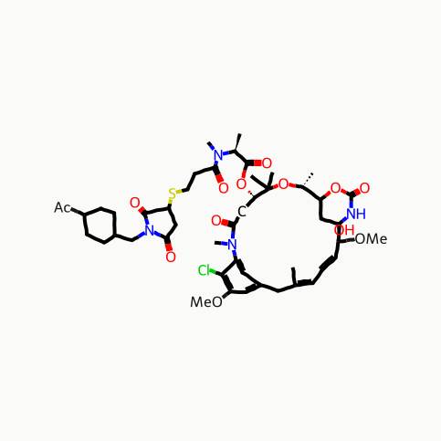 COc1cc2cc(c1Cl)N(C)C(=O)C[C@H](OC(=O)[C@H](C)N(C)C(=O)CCSC1CC(=O)N(CC3CCC(C(C)=O)CC3)C1=O)C(C)(C)O[C@H](C)C1CC(O)(NC(=O)O1)C(OC)/C=C/C=C(\C)C2